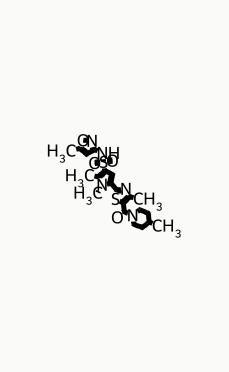 Cc1cc(NS(=O)(=O)c2cc(-c3nc(C)c(C(=O)N4CCC(C)CC4)s3)n(C)c2C)no1